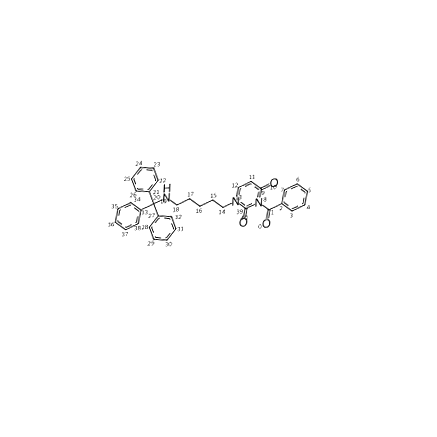 O=C(c1ccccc1)n1c(=O)ccn(CCCCCNC(c2ccccc2)(c2ccccc2)c2ccccc2)c1=O